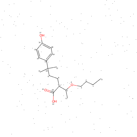 CCCCOC(C)C(CCC(C)(C)c1ccc(O)cc1)C(=O)O